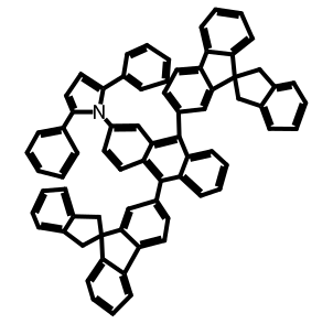 c1ccc(-c2ccc(-c3ccccc3)n2-c2ccc3c(-c4ccc5c(c4)C4(Cc6ccccc6C4)c4ccccc4-5)c4ccccc4c(-c4ccc5c(c4)C4(Cc6ccccc6C4)c4ccccc4-5)c3c2)cc1